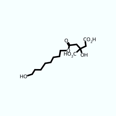 O=C(O)CC(O)(CC(=O)OCCCCCCCCO)C(=O)O